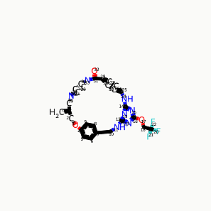 C=C1COc2ccc(cc2)CNc2nc(nc(OCC(F)(F)F)n2)Nc2ccc(cc2)C(=O)N2CCN(CC2)C1